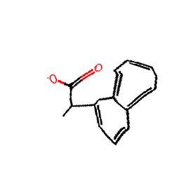 CC(C([O])=O)c1cccc2ccccc12